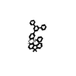 CC1(C)c2ccccc2-c2c1ccc1c2N(c2ccccc2)c2cc(-c3cc(-c4ccccc4)cc(-c4ccccc4)c3)ccc2S1